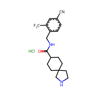 Cl.N#Cc1ccc(CNC(=O)C2CCC3(CCNC3)CC2)c(C(F)(F)F)c1